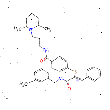 Cc1cccc(CN2C(=O)/C(=C/c3ccccc3)Sc3ccc(C(=O)NCCCN4C(C)CCCC4C)cc32)c1